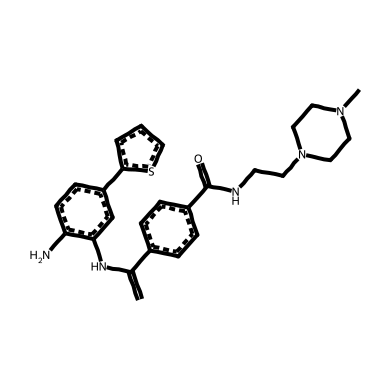 C=C(Nc1cc(-c2cccs2)ccc1N)c1ccc(C(=O)NCCN2CCN(C)CC2)cc1